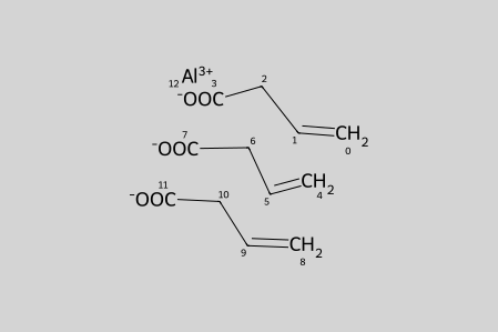 C=CCC(=O)[O-].C=CCC(=O)[O-].C=CCC(=O)[O-].[Al+3]